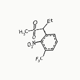 CCC(c1cccc(C(F)(F)F)c1[N+](=O)[O-])S(C)(=O)=O